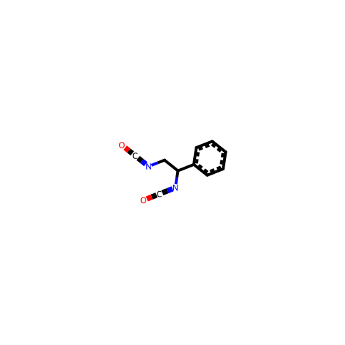 O=C=NCC(N=C=O)c1ccccc1